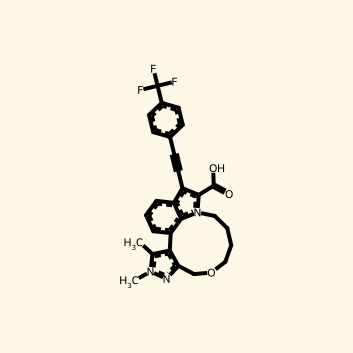 Cc1c2c(nn1C)COCCCCn1c(C(=O)O)c(C#Cc3ccc(C(F)(F)F)cc3)c3cccc-2c31